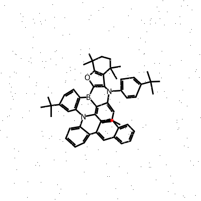 Cc1cc2c3c(c1)N(c1ccc(C(C)(C)C)cc1)c1c(oc4c1C(C)(C)CCC4(C)C)B3c1ccc(C(C)(C)C)cc1N2c1ccccc1-c1ccc2ccccc2c1